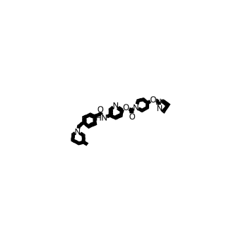 CC1CCCN(Cc2ccc(C(=O)Nc3ccc(OC(=O)N4CCC(On5cccn5)CC4)nc3)cc2)C1